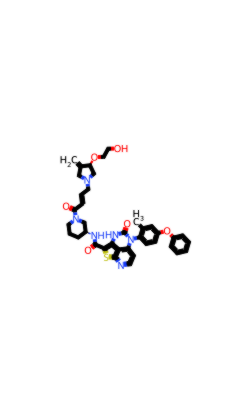 C=C1CN(C/C=C/C(=O)N2CCC[C@@H](NC(=O)c3sc4nccc5c4c3NC(=O)N5c3ccc(Oc4ccccc4)cc3C)C2)C[C@@H]1OCCO